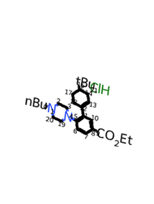 CCCCN1CCN(c2ccc(C(=O)OCC)cc2C2=CCC(C(C)(C)C)CC2)CC1.Cl